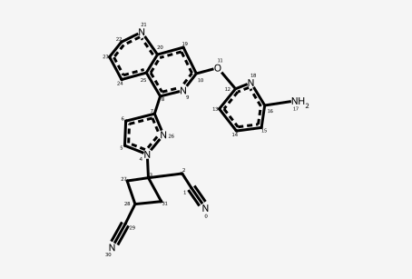 N#CCC1(n2ccc(-c3nc(Oc4cccc(N)n4)cc4ncccc34)n2)CC(C#N)C1